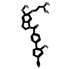 COc1cc2c(cc1OCCN(C)C)N(C(=O)c1ccc(-c3ccc(C#N)cc3C)cc1)CC2